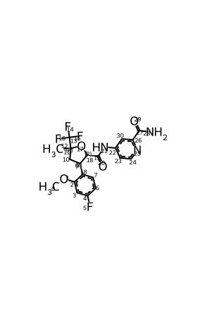 COc1cc(F)ccc1[C@H]1C[C@](C)(C(F)(F)F)O[C@H]1C(=O)Nc1ccnc(C(N)=O)c1